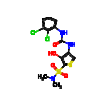 CN(C)S(=O)(=O)c1scc(NC(=O)Nc2cccc(Cl)c2Cl)c1O